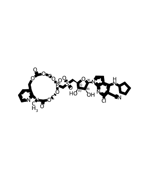 CN1C(=O)OCOP(=O)(CS(=O)(=O)C[C@H]2O[C@@H](n3ccc4c(NC5CCCC5)c(C#N)c(Cl)nc43)[C@H](O)[C@@H]2O)OCOC(=O)OCc2cccnc21